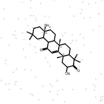 CC1(C)CC[C@]2(N)CCC3C(C(=O)C=C4[C@@]3(C)CCC3C(C)(C)C(=O)C(C#N)C[C@]43C)C2C1